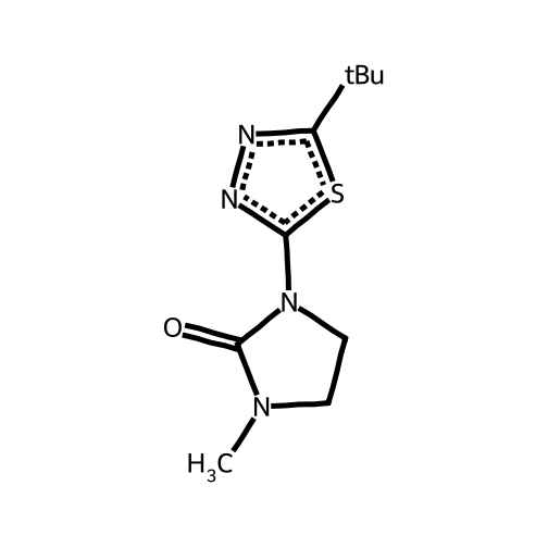 CN1CCN(c2nnc(C(C)(C)C)s2)C1=O